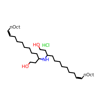 CCCCCCCC/C=C\CCCCCCCC(CCO)NC(CCO)CCCCCCC/C=C\CCCCCCCC.Cl